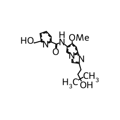 COc1cc2nc(CCC(C)(C)O)cn2cc1NC(=O)c1cccc(CO)n1